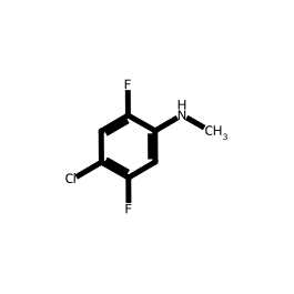 CNc1cc(F)c(Cl)cc1F